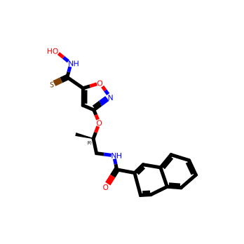 C[C@H](CNC(=O)c1ccc2ccccc2c1)Oc1cc(C(=S)NO)on1